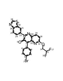 O=c1c(-c2ccc(Br)cc2)c2nc(OCC(F)F)ccc2nn1-c1ccc2ncsc2c1